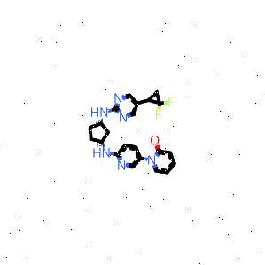 O=c1ccccn1-c1ccc(N[C@H]2CC[C@H](Nc3ncc(C4CC4(F)F)cn3)C2)nc1